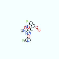 COCOc1cc(-c2oc(=O)c3c(N4CC[C@H]4C)nc(OC[C@@]45CCCN4C[C@H](F)C5)nc3c2C)c2c(C#N)c(F)ccc2c1